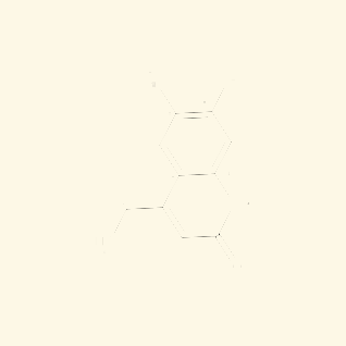 O=c1cc(CO)c2cc(Br)c(O)cc2o1